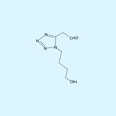 O=[C]Cc1nnnn1CCCCO